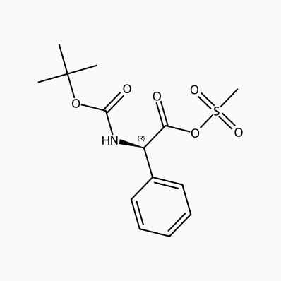 CC(C)(C)OC(=O)N[C@@H](C(=O)OS(C)(=O)=O)c1ccccc1